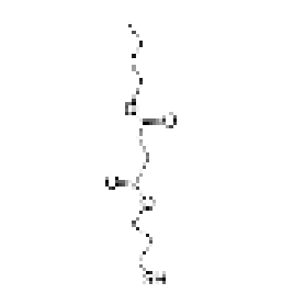 CCCCOC(=O)CCC(=O)OCCCS